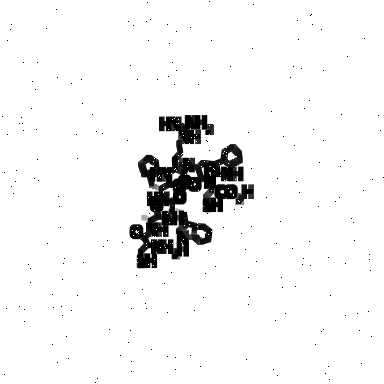 C[C@@H](NC(=O)[C@@H](N)CS)C(=O)N[C@@H](Cc1c[nH]c2ccccc12)C(=O)N[C@H](Cc1ccccc1)C(=O)N[C@@H](CCCNC(=N)N)C(=O)N[C@@H](Cc1c[nH]c2ccccc12)C(=O)N[C@@H](CS)C(=O)O